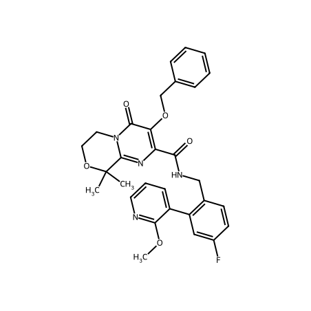 COc1ncccc1-c1cc(F)ccc1CNC(=O)c1nc2n(c(=O)c1OCc1ccccc1)CCOC2(C)C